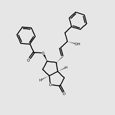 O=C1C[C@@H]2[C@@H](/C=C/[C@@H](O)Cc3ccccc3)[C@H](OC(=O)c3ccccc3)C[C@@H]2O1